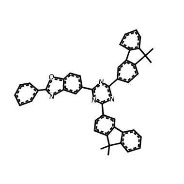 CC1(C)c2ccccc2-c2cc(-c3nc(-c4ccc5c(c4)-c4ccccc4C5(C)C)nc(-c4ccc5oc(-c6ccccc6)nc5c4)n3)ccc21